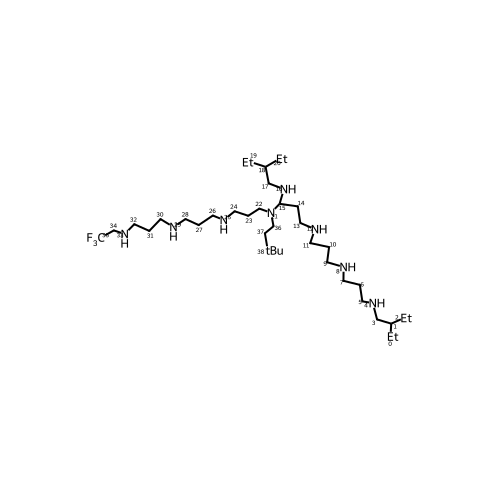 CCC(CC)CNCCCNCCCNCCC(NCC(CC)CC)N(CCCNCCCNCCCNCC(F)(F)F)CCC(C)(C)C